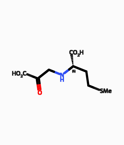 CSCC[C@H](NCC(=O)C(=O)O)C(=O)O